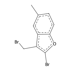 Cc1ccc2oc(Br)c(CBr)c2c1